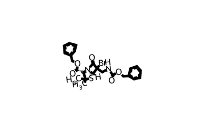 CC1(C)S[C@H]2N(C(=O)C2(Br)CNC(=O)OCc2ccccc2)[C@H]1C(=O)OCc1ccccc1